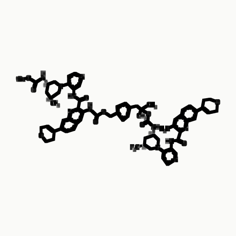 CC(C)(C)OC(=O)N[C@H]1C[C@@H](C(F)(F)F)CN(c2ccncc2NC(=O)c2nc3cc(C4=CCOCC4)ccc3cc2NC(=O)OCc2ccc(CC(C)(C)OC(=O)N[C@H]3C[C@@H](C(F)(F)F)CN(c4ccncc4NC(=O)c4nc5cc(C6=CCOCC6)ccc5cc4N)C3)cc2)C1